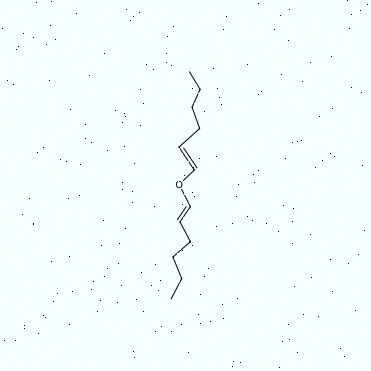 CCCCC=COC=CCCCC